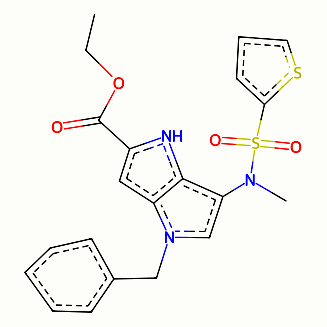 CCOC(=O)c1cc2c([nH]1)c(N(C)S(=O)(=O)c1cccs1)cn2Cc1ccccc1